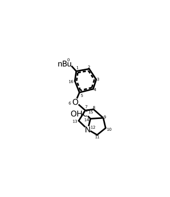 CCCCc1cccc(OC2CC3CCN(C2)C3C=O)c1